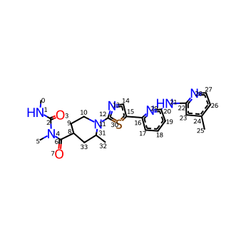 CNC(=O)N(C)C(=O)C1CCN(c2ncc(-c3cccc(Nc4cc(C)ccn4)n3)s2)C(C)C1